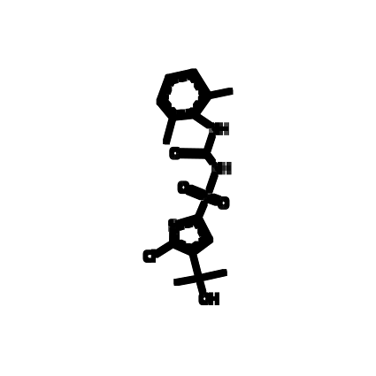 Cc1cccc(C)c1NC(=O)NS(=O)(=O)c1cc(C(C)(C)O)c(Cl)s1